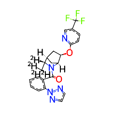 [2H]C([2H])([2H])[C@]1([2H])[C@H]2C[C@@H](Oc3ccc(C(F)(F)F)cn3)[C@H](C2)N1C(=O)c1ccccc1-n1nccn1